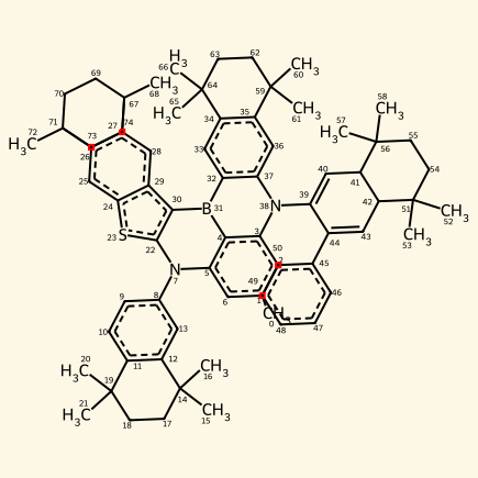 Cc1cc2c3c(c1)N(c1ccc4c(c1)C(C)(C)CCC4(C)C)c1sc4cc5c(cc4c1B3c1cc3c(cc1N2C1=CC2C(C=C1c1ccccc1)C(C)(C)CCC2(C)C)C(C)(C)CCC3(C)C)C1(C)CCC5(C)CC1